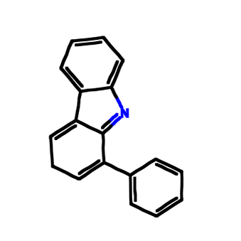 C1=C(c2ccccc2)C2=Nc3ccccc3C2=CC1